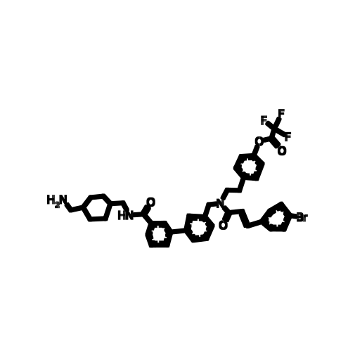 NCC1CCC(CNC(=O)c2cccc(-c3cccc(CN(CCc4ccc(OC(=O)C(F)(F)F)cc4)C(=O)/C=C/c4ccc(Br)cc4)c3)c2)CC1